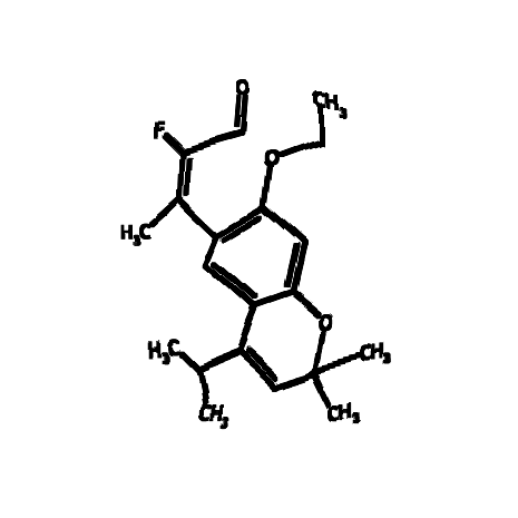 CCOc1cc2c(cc1/C(C)=C(/F)C=O)C(C(C)C)=CC(C)(C)O2